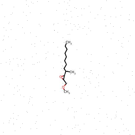 CCCCCCCCC(C)C1OC1COC